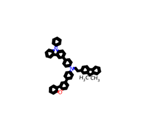 CC1(C)c2ccccc2-c2ccc(CCN(c3ccc(-c4ccc5oc6ccccc6c5c4)cc3)c3ccc(-c4ccc5c(c4)c4ccccc4n5-c4ccccc4)cc3)cc21